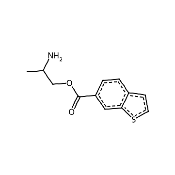 CC(N)COC(=O)c1ccc2ccsc2c1